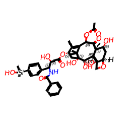 CC(=O)O[C@H]1C(=O)[C@@]2(C)[C@H]([C@H](O)[C@]3(O)C[C@H](OC(=O)[C@H](O)[C@@H](NC(=O)c4ccccc4)c4ccc([Si](C)(C)O)cc4)C(C)=C1C3(C)C)[C@]1(O)CO[C@@H]1C[C@@H]2O